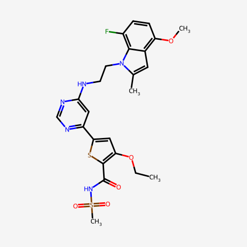 CCOc1cc(-c2cc(NCCn3c(C)cc4c(OC)ccc(F)c43)ncn2)sc1C(=O)NS(C)(=O)=O